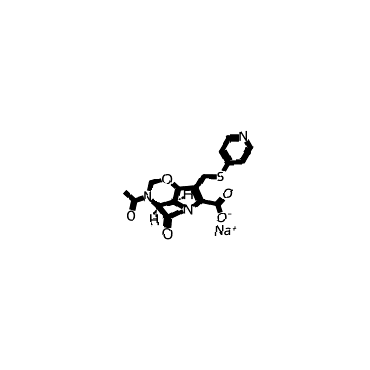 CC(=O)N1COC2C(CSc3ccncc3)=C(C(=O)[O-])N3C(=O)[C@@H]1[C@@H]23.[Na+]